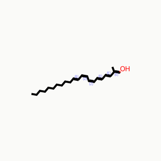 CCCCCCCCCC/C=C/C=C\C=C/C=C/C=C/C(C)=C/O